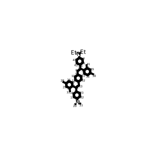 CCN(CC)c1ccc(C(=Cc2ccc(C=C(c3ccc(N(C)C)cc3)c3ccc(C)cc3C)cc2)c2ccc(C)cc2C)cc1